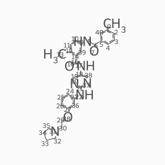 Cc1cccc(C(=O)Nc2ccc(C)c(C(=O)Nc3cnc(Nc4cccc(OCCN5CCCC5)c4)nc3)c2)c1